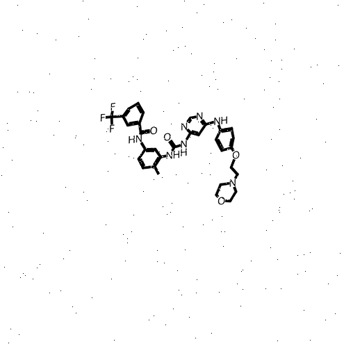 Cc1ccc(NC(=O)c2cccc(C(F)(F)F)c2)cc1NC(=O)Nc1cc(Nc2ccc(OCCN3CCOCC3)cc2)ncn1